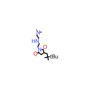 CN(C)CCNCCN1C(=O)CC(CC(C)(C)C(C)(C)C)C1=O